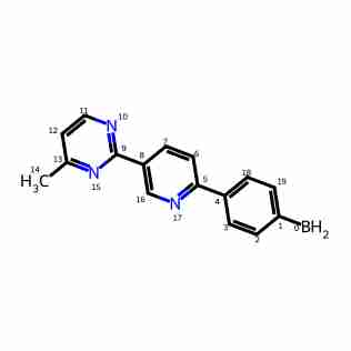 Bc1ccc(-c2ccc(-c3nccc(C)n3)cn2)cc1